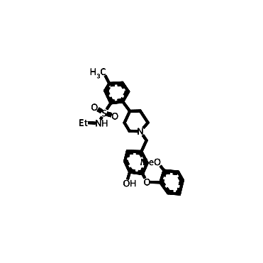 CCNS(=O)(=O)c1cc(C)ccc1C1CCN(Cc2ccc(O)c(Oc3ccccc3OC)c2)CC1